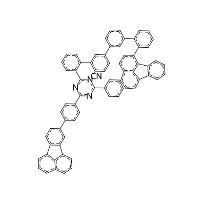 N#Cc1ccc(-c2cccc(-c3ccccc3-c3ccc4cccc5c4c3-c3ccccc3-5)c2)cc1-c1ccccc1-c1nc(-c2ccccc2)nc(-c2ccc(-c3ccc4c(c3)-c3cccc5cccc-4c35)cc2)n1